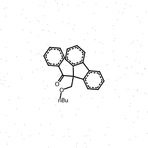 CCCCOCC1(C(=O)c2ccccc2)c2ccccc2-c2ccccc21